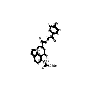 COC(=O)N[C@H]1CCc2ccn3c2C1C(=O)C[C@H](C(=O)OCC(=O)c1ccc(Br)c(F)c1)C3